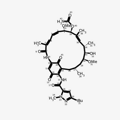 CO[C@H]1/C=C\C=C(/C)C(=O)NC2=CC(=O)C(NC(=O)c3cc(C(C)(C)C)nn3C)=C(C[C@@H](C)C[C@H](OC)[C@H](O)[C@@H](C)/C=C(\C)[C@@H]1OC(N)=O)C2=O